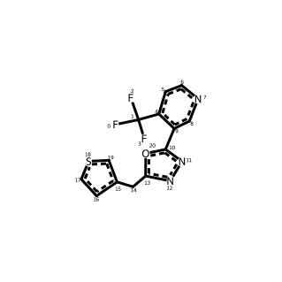 FC(F)(F)c1ccncc1-c1nnc(Cc2ccsc2)o1